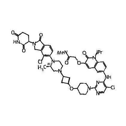 CNC(=O)COc1cc2cc(Nc3nc(N4CCC(OC5CC(N6CCN(c7ccc8c(c7Cl)CN(C7CCC(=O)NC7=O)C8=O)[C@H](C)C6)C5)CC4)ncc3Cl)ccc2n(C(C)C)c1=O